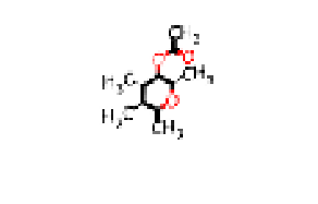 CC(=O)OC1[C@H](C)OC(C)[C@@H](C)[C@@H]1C